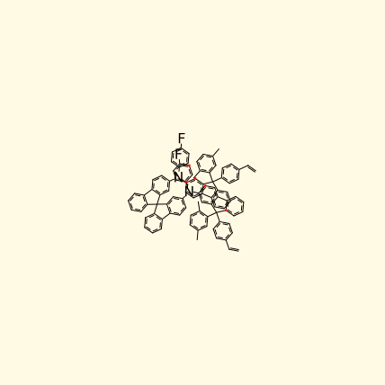 C=Cc1ccc(C2(c3cc(C)ccc3C)c3ccccc3-c3ccc(N(c4ccc(F)cc4)c4ccc5c(c4)C4(c6ccccc6-5)c5ccccc5-c5ccc(N(c6ccc(F)cc6)c6ccc7c(c6)C(c6ccc(C=C)cc6)(c6cc(C)ccc6C)c6ccccc6-7)cc54)cc32)cc1